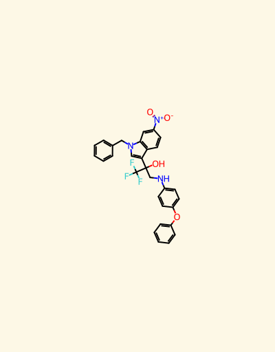 O=[N+]([O-])c1ccc2c(C(O)(CNc3ccc(Oc4ccccc4)cc3)C(F)(F)F)cn(Cc3ccccc3)c2c1